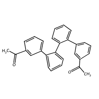 CC(=O)c1cccc(-c2ccccc2-c2ccccc2-c2cccc(C(C)=O)c2)c1